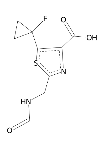 O=CNCc1nc(C(=O)O)c(C2(F)CC2)s1